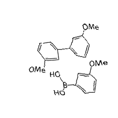 COc1cccc(-c2cccc(OC)c2)c1.COc1cccc(B(O)O)c1